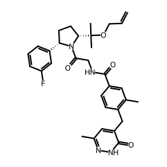 C=CCOC(C)(C)[C@H]1CC[C@@H](c2cccc(F)c2)N1C(=O)CNC(=O)c1ccc(Cc2cc(C)n[nH]c2=O)c(C)c1